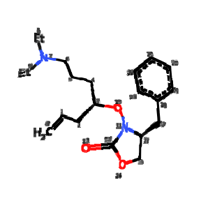 C=CC[C@@H](CCCN(CC)CC)ON1C(=O)OC[C@@H]1Cc1ccccc1